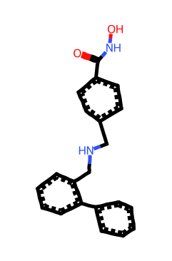 O=C(NO)c1ccc(CNCc2ccccc2-c2ccccc2)cc1